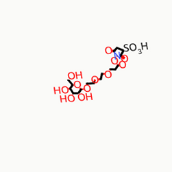 O=C(CCOCCOCCO[C@@H]1OC(CO)C(O)[C@@H](O)C1O)ON1C(=O)CC(S(=O)(=O)O)C1=O